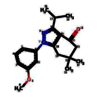 COc1cccc(-n2nc(C(C)C)c3c2CC(C)(C)CC3=O)c1